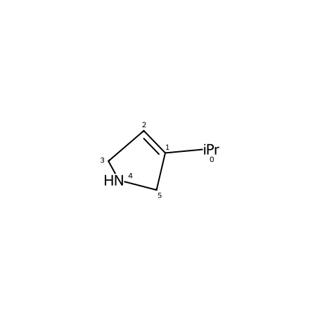 CC(C)C1=CCNC1